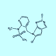 CN(c1ncccc1Cn1c(Cl)cc2cnc(Cl)nc21)S(C)(=O)=O